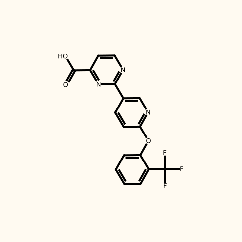 O=C(O)c1ccnc(-c2ccc(Oc3ccccc3C(F)(F)F)nc2)n1